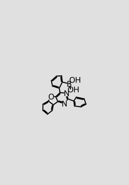 OB(O)c1ccccc1-c1nc(-c2ccccc2)nc2c1oc1ccccc12